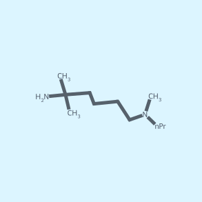 CCCN(C)CCCCC(C)(C)N